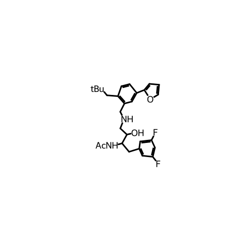 CC(=O)NC(Cc1cc(F)cc(F)c1)C(O)CNCc1cc(-c2ccco2)ccc1CC(C)(C)C